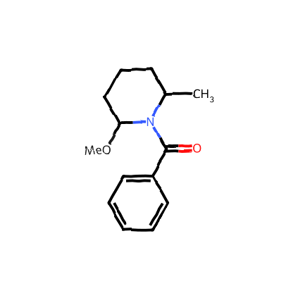 COC1CCCC(C)N1C(=O)c1ccccc1